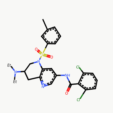 CCN(CC)C1Cc2ncc(NC(=O)c3c(Cl)cccc3Cl)cc2N(S(=O)(=O)c2cccc(C)c2)C1